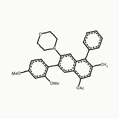 COc1ccc(-c2cc3c(OC(C)=O)cc(C)c(-c4ccccc4)c3cc2N2CCOCC2)c(OC)c1